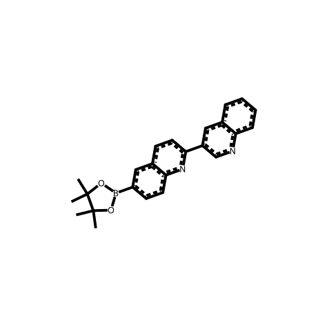 CC1(C)OB(c2ccc3nc(-c4cnc5ccccc5c4)ccc3c2)OC1(C)C